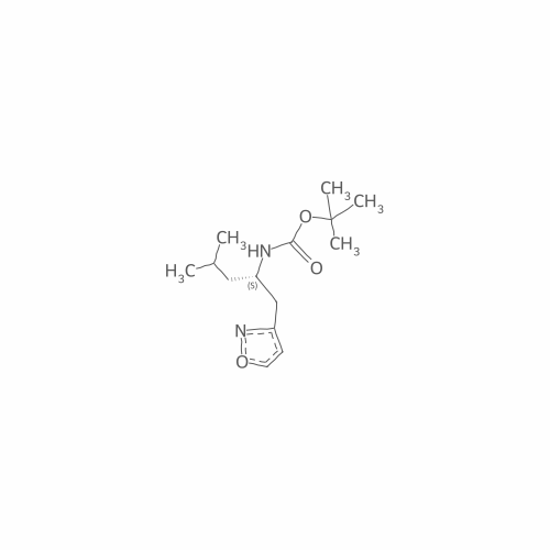 CC(C)C[C@@H](Cc1ccon1)NC(=O)OC(C)(C)C